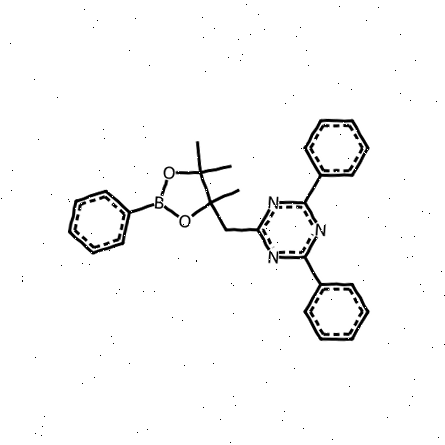 CC1(C)OB(c2ccccc2)OC1(C)Cc1nc(-c2ccccc2)nc(-c2ccccc2)n1